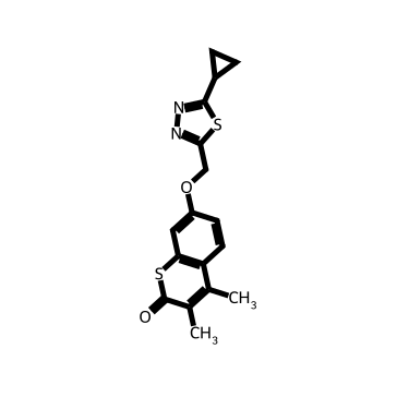 Cc1c(C)c2ccc(OCc3nnc(C4CC4)s3)cc2sc1=O